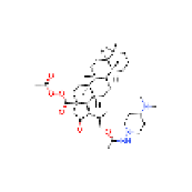 CC(=O)NN1CCC(N(C)C)CC1.CC(=O)OOC(=O)[C@@]12CC[C@]3(C)[C@H](CC[C@@H]4[C@@]5(C)CCCC(C)(C)[C@@H]5CC[C@]43C)C1=C(C(C)C)C(=O)C2